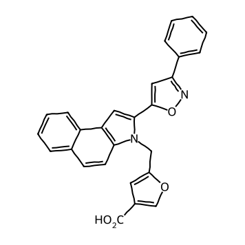 O=C(O)c1coc(Cn2c(-c3cc(-c4ccccc4)no3)cc3c4ccccc4ccc32)c1